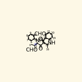 C/C(C=O)=C(\Nc1ccccc1C=O)C(=O)c1c(C)[nH]c2ccccc2c1=O